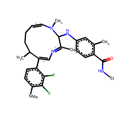 CCNC(=O)c1ccc(NC2/C(C)=N/C=C(/c3ccc(NC)c(F)c3F)C(C)CC/C=C\N2C)cc1C